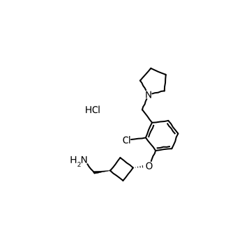 Cl.NC[C@H]1C[C@H](Oc2cccc(CN3CCCC3)c2Cl)C1